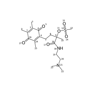 CC1=C(C)C(=O)C(CCC(C)(OS(C)(=O)=O)C(=O)NCCN(C)C)=C(C)C1=O